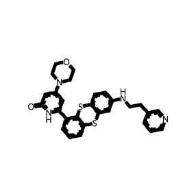 O=c1cc(N2CCOCC2)cc(-c2cccc3c2Sc2ccc(NCCc4cccnc4)cc2S3)[nH]1